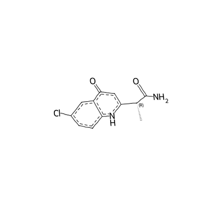 C[C@@H](C(N)=O)c1cc(=O)c2cc(Cl)ccc2[nH]1